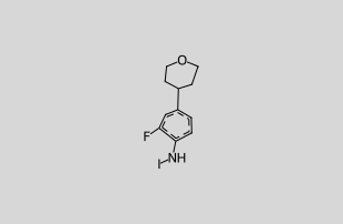 Fc1cc(C2CCOCC2)ccc1NI